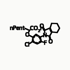 CCCCCC(Oc1cc(N2C(=O)C3=C(CCCC3)C2=O)c(F)cc1Cl)C(=O)O